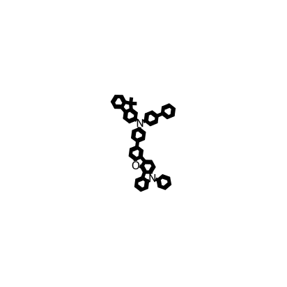 CC1(C)c2ccccc2-c2ccc(N(c3ccc(-c4ccccc4)cc3)c3ccc(-c4ccc5oc6c(ccc7c6c6ccccc6n7-c6ccccc6)c5c4)cc3)cc21